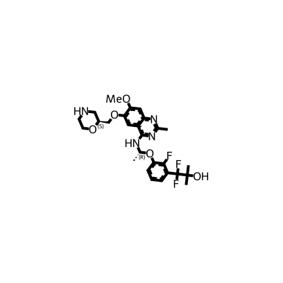 COc1cc2nc(C)nc(N[C@@H](C)Oc3cccc(C(F)(F)C(C)(C)O)c3F)c2cc1OC[C@@H]1CNCCO1